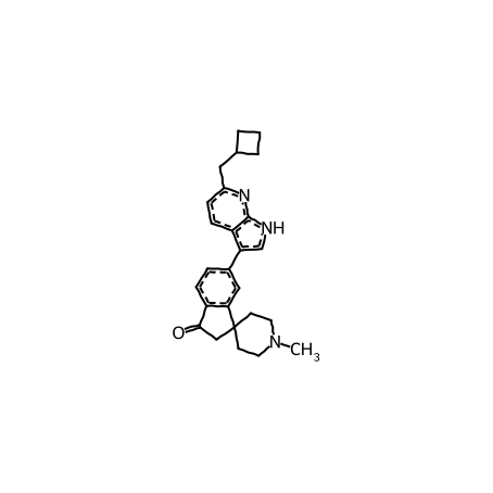 CN1CCC2(CC1)CC(=O)c1ccc(-c3c[nH]c4nc(CC5CCC5)ccc34)cc12